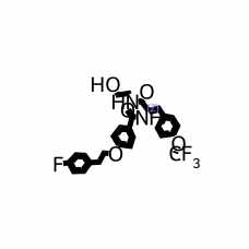 O=C(NCCO)/C(=C/c1ccc(OC(F)(F)F)cc1)NC(=O)c1ccc(OCCc2ccc(F)cc2)cc1